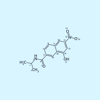 CC(C)NC(=O)c1ccc2cc([N+](=O)[O-])cc(O)c2c1